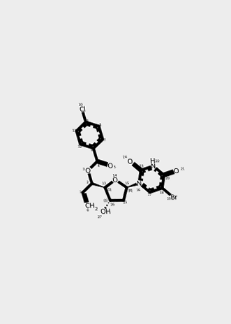 C=CC(OC(=O)c1ccc(Cl)cc1)[C@H]1O[C@@H](n2cc(Br)c(=O)[nH]c2=O)C[C@@H]1O